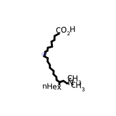 CCCCCCC(CCCCCCCC/C=C\CCCCCCCC(=O)O)CCN(C)C